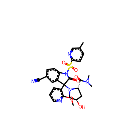 COc1ncccc1C1(N2C[C@H](O)C[C@H]2C(=O)N(C)C)C(=O)N(S(=O)(=O)c2ccc(C)cn2)c2ccc(C#N)cc21